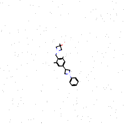 Cc1cc(C2CN(c3ccccc3)C2)cc(C)c1CN1CC(C)(OC=O)C1